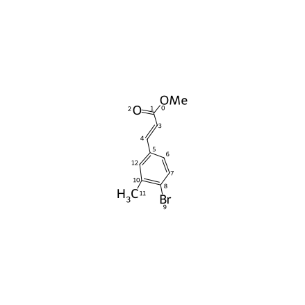 COC(=O)/C=C/c1ccc(Br)c(C)c1